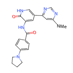 CNc1cc(-c2c[nH]c(=O)c(NC(=O)c3ccc(N4CCCC4)cc3)c2)ncn1